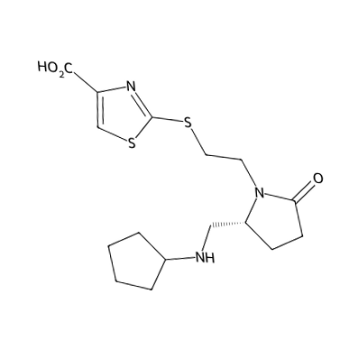 O=C(O)c1csc(SCCN2C(=O)CC[C@@H]2CNC2CCCC2)n1